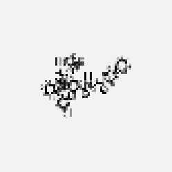 O=C(NCCC(=O)N1CCC(N2CCCCC2)CC1)c1ccc(S(=O)(=O)Nc2ccccc2Oc2ccc(Cl)cc2Cl)cc1.O=C(O)C(F)(F)F